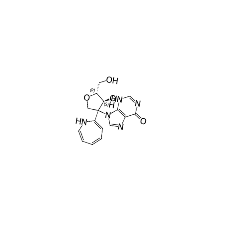 O=c1nc[nH]c2c1ncn2C1(C2=CC=CC=CN2)CO[C@H](CO)[C@H]1O